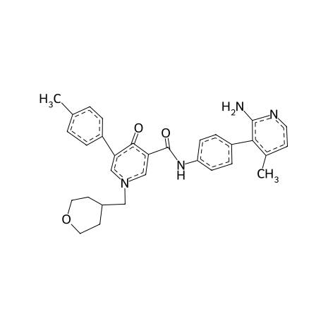 Cc1ccc(-c2cn(CC3CCOCC3)cc(C(=O)Nc3ccc(-c4c(C)ccnc4N)cc3)c2=O)cc1